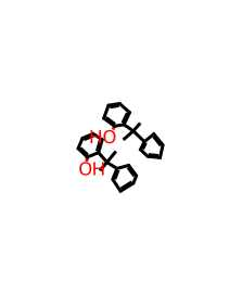 CC(C)(c1ccccc1)c1ccccc1O.CC(C)(c1ccccc1)c1ccccc1O